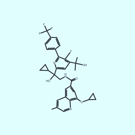 Cc1cnc2c(OC3CC3)cc(C(=O)NCC(O)(c3cc(C(C)(C)O)c(F)c(-c4ccc(C(F)(F)F)cc4)n3)C3CC3)cc2c1